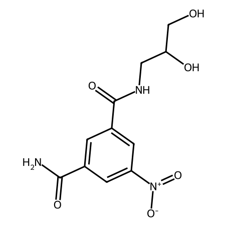 NC(=O)c1cc(C(=O)NCC(O)CO)cc([N+](=O)[O-])c1